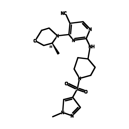 C[C@H]1COCCN1c1nc(NC2CCN(S(=O)(=O)c3cnn(C)c3)CC2)ncc1C#N